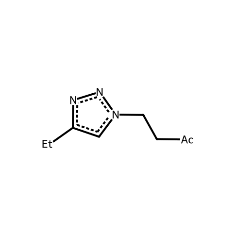 CCc1cn(CCC(C)=O)nn1